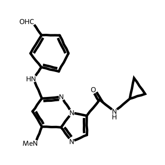 CNc1cc(Nc2cccc(C=O)c2)nn2c(C(=O)NC3CC3)cnc12